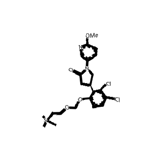 COc1ccc(N2C[C@@H](c3c(OCOCC[Si](C)(C)C)ccc(Cl)c3Cl)CC2=O)cn1